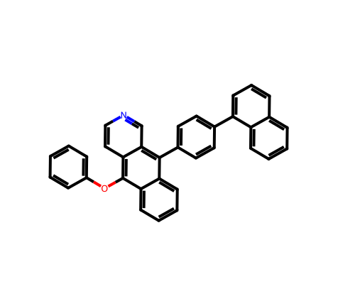 c1ccc(Oc2c3ccccc3c(-c3ccc(-c4cccc5ccccc45)cc3)c3cnccc23)cc1